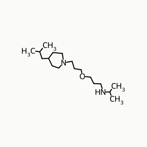 CC(C)CC1CCN(CCCOCCCNC(C)C)CC1